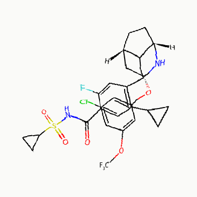 O=C(NS(=O)(=O)C1CC1)c1cc(C2CC2)c(CC2[C@H]3CC[C@@H]2N[C@H](Oc2cc(Cl)cc(OC(F)(F)F)c2)C3)cc1F